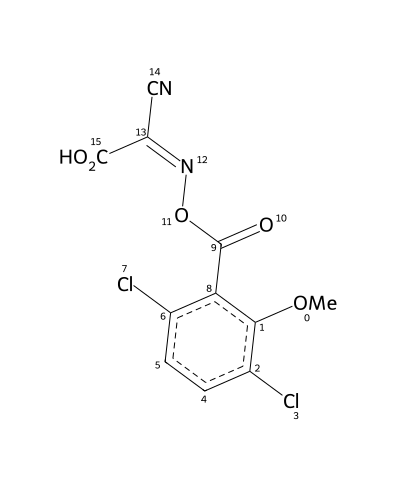 COc1c(Cl)ccc(Cl)c1C(=O)ON=C(C#N)C(=O)O